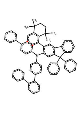 CC1(C)CCC(C)(C)c2c(-c3cc4c(cc3N(c3ccc(-c5ccccc5)cc3)c3ccc(-c5ccccc5-c5ccccc5)cc3)C(c3ccccc3)(c3ccccc3)c3ccccc3-4)cccc21